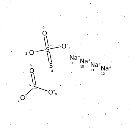 O=S([O-])([O-])=S.O=S([O-])[O-].[Na+].[Na+].[Na+].[Na+]